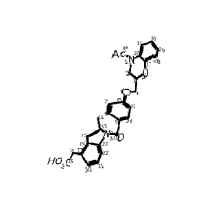 CC(=O)N1CC(COc2ccc(C(=O)n3c(C)cc4c(CC(=O)O)cccc43)cc2)Oc2ccccc21